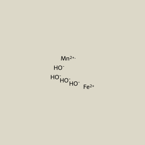 [Fe+2].[Mn+2].[OH-].[OH-].[OH-].[OH-]